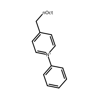 CCCCCCCCCc1cc[n+](-c2ccccc2)cc1